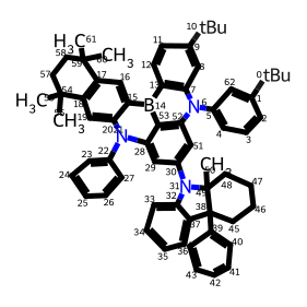 CC(C)(C)c1cccc(N2c3cc(C(C)(C)C)ccc3B3c4cc5c(cc4N(c4ccccc4)c4cc(N6c7ccccc7C7(c8ccccc8)CCCCC67C)cc2c43)C(C)(C)CCC5(C)C)c1